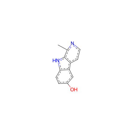 Cc1nccc2c1[nH]c1ccc(O)cc12